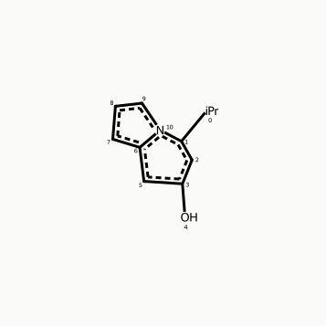 CC(C)c1cc(O)cc2cccn12